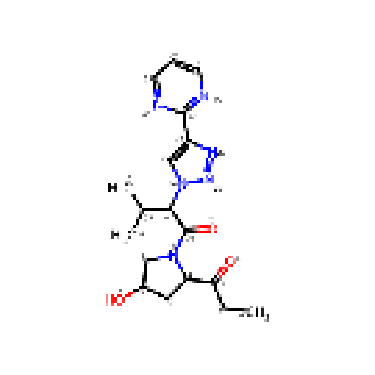 CCC(=O)C1CC(O)CN1C(=O)C(C(C)C)n1cc(-c2ncccn2)nn1